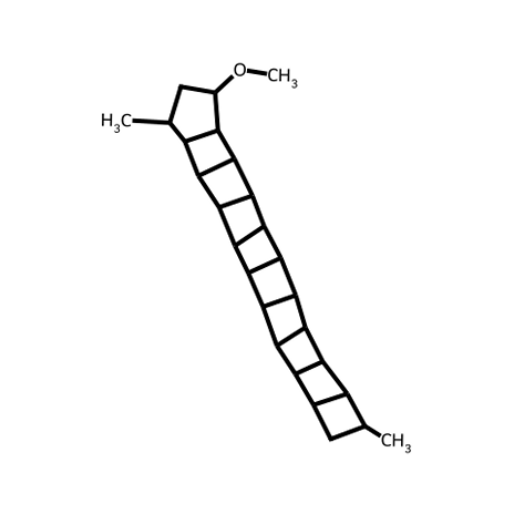 COC1CC(C)C2C1C1C2C2C1C1C2C2C3C4C5C6CC(C)C6C5C4C3C12